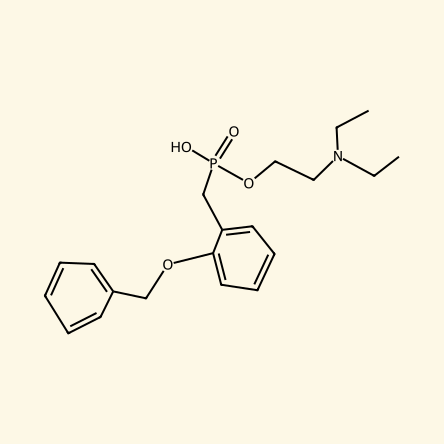 CCN(CC)CCOP(=O)(O)Cc1ccccc1OCc1ccccc1